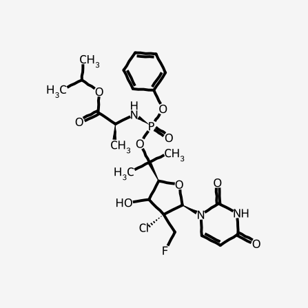 CC(C)OC(=O)[C@H](C)N[P@](=O)(Oc1ccccc1)OC(C)(C)[C@H]1O[C@@H](n2ccc(=O)[nH]c2=O)[C@@](Cl)(CF)C1O